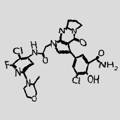 CC1COCCN1c1cc(NC(=O)Cn2cc(-c3cc(Cl)c(O)c(C(N)=O)c3)c3c(=O)n4c(nc32)CCC4)c(Cl)c(F)n1